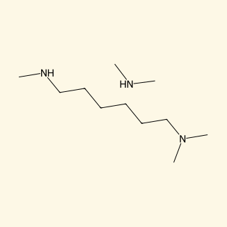 CNC.CNCCCCCCN(C)C